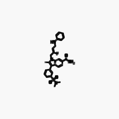 Cc1c(-c2cccc(S(=O)(=O)N(C)C)c2)c2ccc(C(N)=O)cc2n1CC(F)=CCNc1ccccc1